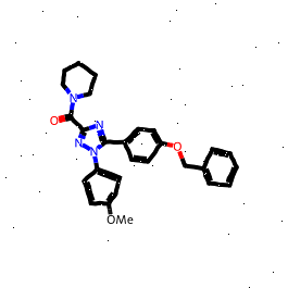 COc1ccc(-n2nc(C(=O)N3CCCCC3)nc2-c2ccc(OCc3ccccc3)cc2)cc1